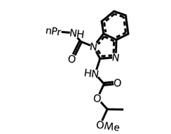 CCCNC(=O)n1c(NC(=O)OC(C)OC)nc2ccccc21